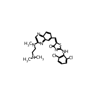 CN(C)CCN(C)c1cnc2ccc(C=C3SC(Nc4c(Cl)cccc4Cl)=NC3=O)cc2n1